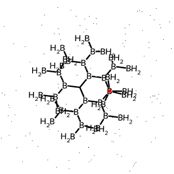 BB(B)B(B(B)B)B(B(B(B)B)B(B)B)C(B(B(B)B)B(B)B)B(B(B(B)B)B(B)B)B(B(B)B)B(B)B